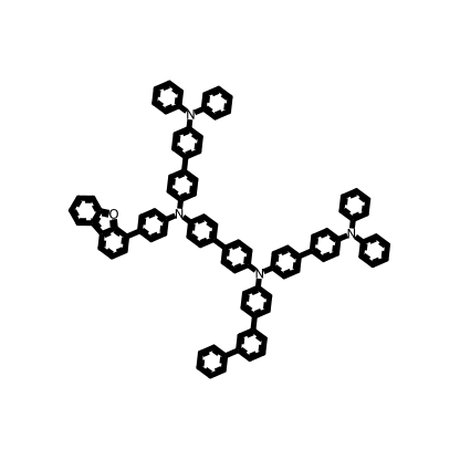 c1ccc(-c2cccc(-c3ccc(N(c4ccc(-c5ccc(N(c6ccccc6)c6ccccc6)cc5)cc4)c4ccc(-c5ccc(N(c6ccc(-c7ccc(N(c8ccccc8)c8ccccc8)cc7)cc6)c6ccc(-c7cccc8c7oc7ccccc78)cc6)cc5)cc4)cc3)c2)cc1